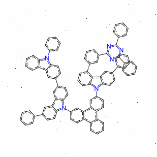 c1ccc(-c2ccc3c(c2)c2cc(-c4ccc5c(c4)c4ccccc4n5-c4ccccc4)ccc2n3-c2ccc3c4ccccc4c4ccc(-n5c6ccc(-c7ccccc7)cc6c6c(-c7cccc(-c8nc(-c9ccccc9)nc(-c9ccccc9)n8)c7)cccc65)cc4c3c2)cc1